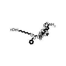 CCCCCCCCCCCCCCCCCCOC[C@H](COP(=O)(O)OC1[C@H]2O[C@@](C)(c3ccc4c(N)ncnn34)[C@@H]3OC(C)(C)O[C@]123)OCc1ccccc1